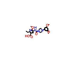 CCc1nc(OC)c(NC(=O)N2CCN(c3cc(OC)cc(OC)c3)CC2)cc1C(=O)O